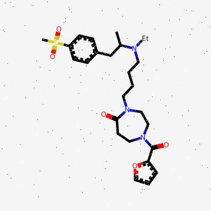 CCN(CCCCN1CCN(C(=O)c2ccco2)CCC1=O)C(C)Cc1ccc(S(C)(=O)=O)cc1